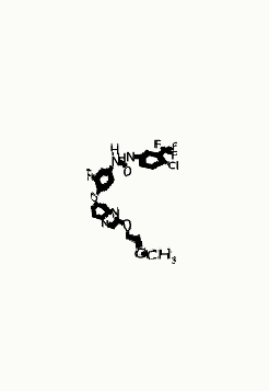 COCCOc1cnc2ccc(Oc3ccc(NC(=O)Nc4ccc(Cl)c(C(F)(F)F)c4)cc3F)cc2n1